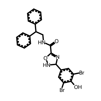 O=C(NCC(c1ccccc1)c1ccccc1)C1=NC(c2cc(Br)c(O)c(Br)c2)NO1